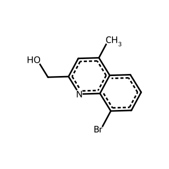 Cc1cc(CO)nc2c(Br)cccc12